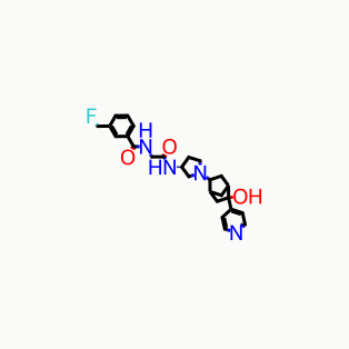 O=C(CNC(=O)c1cccc(CF)c1)N[C@@H]1CCN(C2CC3CC2CC3(O)c2ccncc2)C1